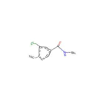 CC(C)(C)NC(=O)c1ccc(C#N)c(Cl)c1